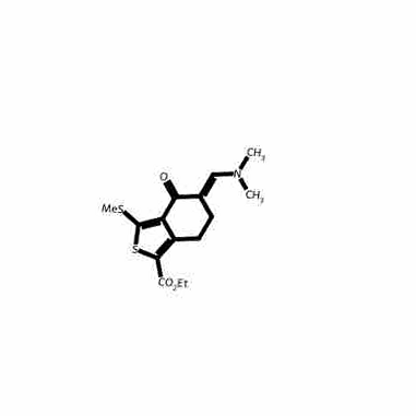 CCOC(=O)c1sc(SC)c2c1CC/C(=C\N(C)C)C2=O